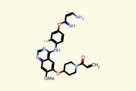 C=CC(=O)N1CCC(Oc2cc3c(Nc4ccc(OC(=N)/C=C\N)cc4F)ncnc3cc2OC)CC1